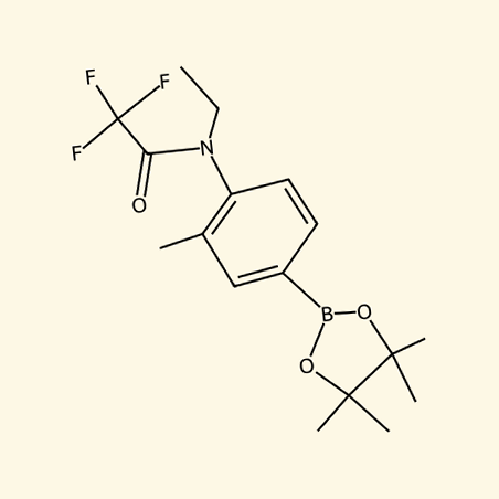 CCN(C(=O)C(F)(F)F)c1ccc(B2OC(C)(C)C(C)(C)O2)cc1C